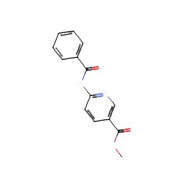 COC(=O)c1ccc(NC(=O)c2ccccc2)nc1